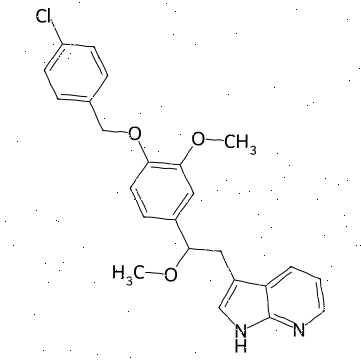 COc1cc(C(Cc2c[nH]c3ncccc23)OC)ccc1OCc1ccc(Cl)cc1